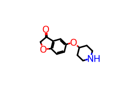 O=C1COc2ccc(OC3CCNCC3)cc21